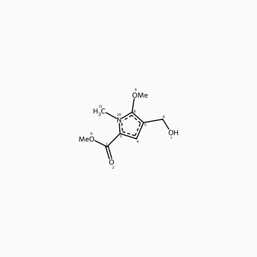 COC(=O)c1cc(CO)c(OC)n1C